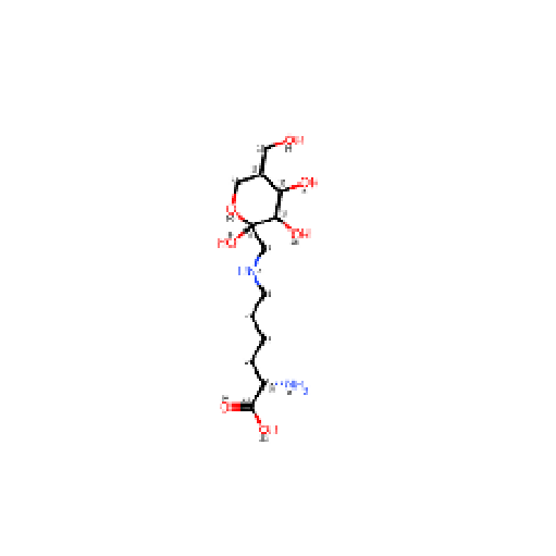 N[C@@H](CCCCNCC1(O)OCC(CO)C(O)C1O)C(=O)O